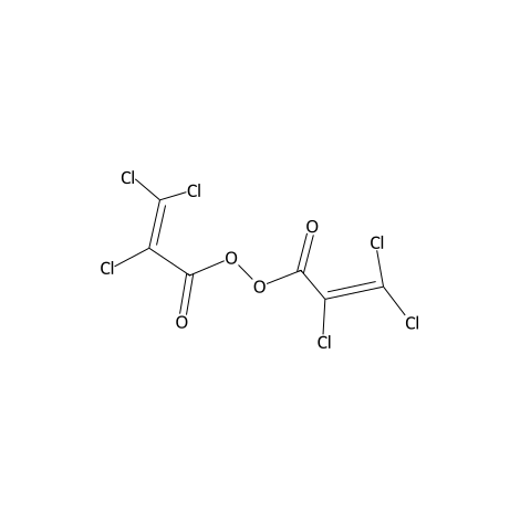 O=C(OOC(=O)C(Cl)=C(Cl)Cl)C(Cl)=C(Cl)Cl